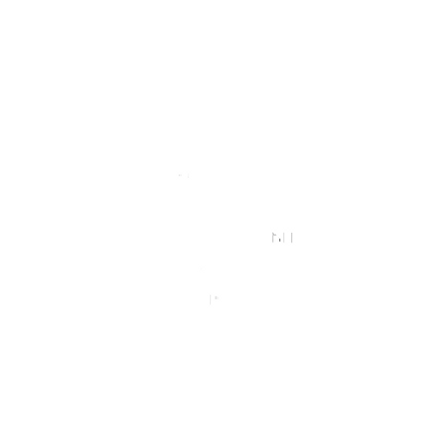 Cc1cc(O)c(OC(C)N)cc1C(C)C